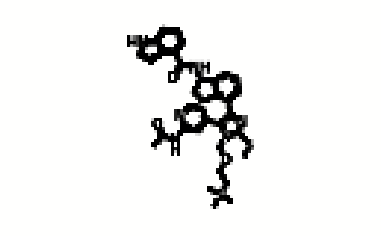 CSc1nc(-c2cccc3c2CCC3NC(=O)c2cccc3[nH]ccc23)c(-c2ccnc(NC(C)=O)c2)n1COCC[Si](C)(C)C